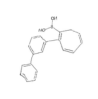 OB(O)C1=C(c2cccc(-c3ccccc3)c2)C=CC=CC1